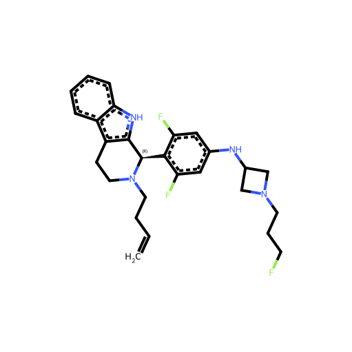 C=CCCN1CCc2c([nH]c3ccccc23)[C@H]1c1c(F)cc(NC2CN(CCCF)C2)cc1F